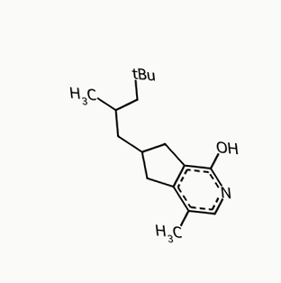 Cc1cnc(O)c2c1CC(CC(C)CC(C)(C)C)C2